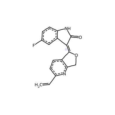 C=Cc1ccc2c(n1)CO/C2=C1\C(=O)Nc2ccc(F)cc21